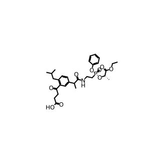 CCOC(=O)[C@H](C)OP(=O)(CCNC(=O)C(C)c1ccc(CC(C)C)c(C(=O)CCC(=O)O)c1)Oc1ccccc1